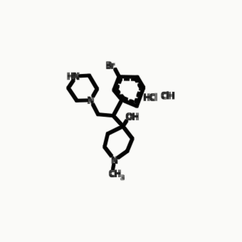 CN1CCC(O)(C(CN2CCNCC2)c2cccc(Br)c2)CC1.Cl.Cl